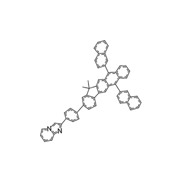 CC1(C)c2cc(-c3ccc(-c4cn5ccccc5n4)cc3)ccc2-c2cc3c(-c4ccc5ccccc5c4)c4ccccc4c(-c4ccc5ccccc5c4)c3cc21